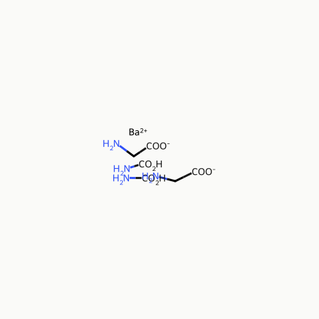 NC(=O)O.NC(=O)O.NCC(=O)[O-].NCC(=O)[O-].[Ba+2]